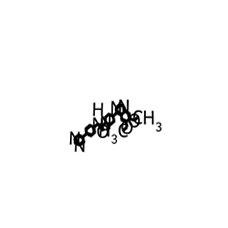 COc1cc2ncnc(C3CCN(C(=O)Nc4ccc(-c5cncnc5)cc4)CC3)c2cc1OC